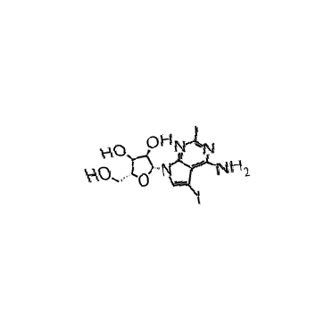 Cc1nc(N)c2c(I)cn([C@@H]3O[C@H](CO)[C@@H](O)[C@H]3O)c2n1